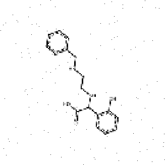 O=C(O)C(NCCNCc1ccccn1)c1ccccc1O